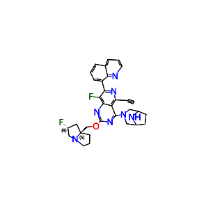 C#Cc1nc(-c2cccc3cccnc23)c(F)c2nc(OC[C@@]34CCCN3C[C@H](F)C4)nc(N3CC4CCC(C3)N4)c12